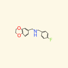 Fc1ccc(CNCc2ccc3c(c2)OCCO3)cc1